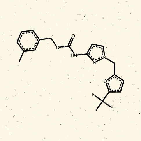 Cc1cccc(COC(=O)Nc2ccn(Cc3ccc(C(C)(F)F)o3)n2)c1